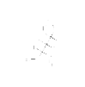 CCOC(F)(OCC)C(F)(F)C(F)(OCC)OCC